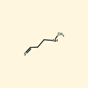 CNCCC=S